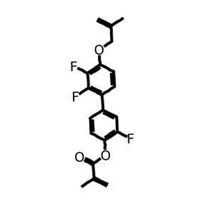 C=C(C)COc1ccc(-c2ccc(OC(=O)C(=C)C)c(F)c2)c(F)c1F